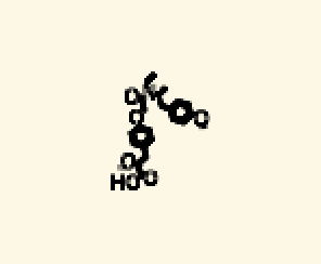 CCN(C(=O)COc1ccc(CC(OC)C(=O)O)cc1)C(C)Cc1ccc(OC)cc1